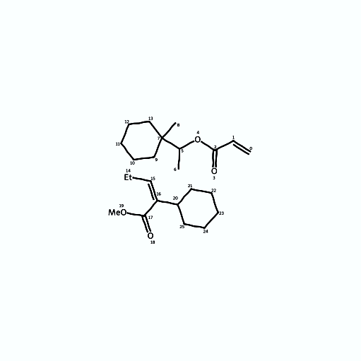 C=CC(=O)OC(C)C1(C)CCCCC1.CCC=C(C(=O)OC)C1CCCCC1